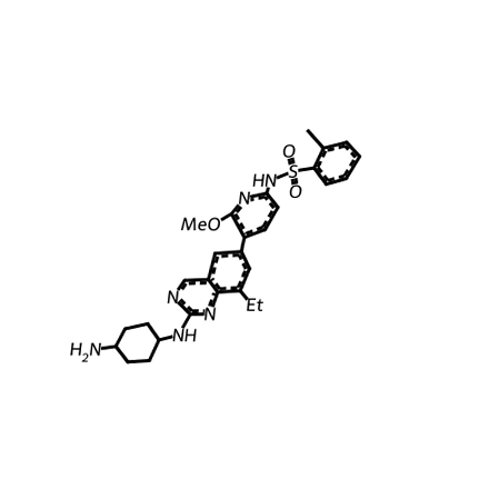 CCc1cc(-c2ccc(NS(=O)(=O)c3ccccc3C)nc2OC)cc2cnc(NC3CCC(N)CC3)nc12